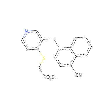 CCOC(=O)CSc1ccncc1Cc1ccc(C#N)c2ccccc12